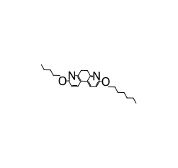 CCCCCCCOc1ccc2c(n1)CCc1nc(OCCCCC)ccc1-2